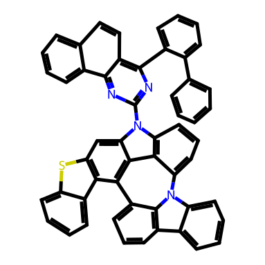 c1ccc(-c2ccccc2-c2nc(-n3c4cc5sc6ccccc6c5c5c6cccc7c8ccccc8n(c8cccc3c8c54)c76)nc3c2ccc2ccccc23)cc1